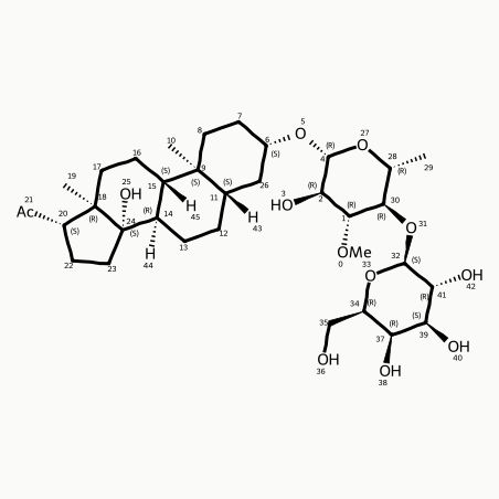 CO[C@@H]1[C@@H](O)[C@H](O[C@H]2CC[C@@]3(C)[C@@H](CC[C@@H]4[C@@H]3CC[C@]3(C)[C@@H](C(C)=O)CC[C@]43O)C2)O[C@H](C)[C@H]1O[C@@H]1O[C@H](CO)[C@H](O)[C@H](O)[C@H]1O